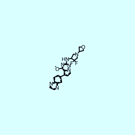 COc1nc(NC2CN(C3COC3)CC2(F)F)nn2ccc(-c3ccc4nccnc4c3)c12